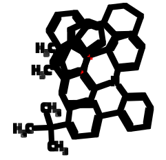 CC(C)(C)c1ccc(-c2ccccc2N(c2ccccc2-c2cccc3cccc(C4CCCCC4)c23)c2cccc3c2-c2ccccc2C3(C)C)cc1